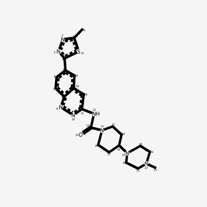 Cc1nnc(-c2ccc3nnc(NC(=O)N4CCC(N5CCN(C)CC5)CC4)cc3c2)s1